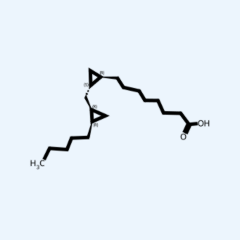 CCCCC[C@@H]1C[C@@H]1C[C@@H]1C[C@H]1CCCCCCCC(=O)O